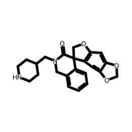 O=C1N(CC2CCNCC2)Cc2ccccc2C12COc1cc3c(cc12)OCO3